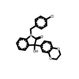 O=C1N(Cc2ccc(Cl)cc2)c2ccccc2C1(O)c1ccc2c(c1)OCCO2